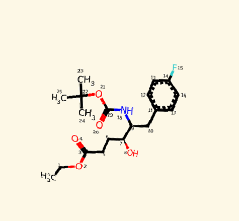 CCOC(=O)CC[C@H](O)[C@H](Cc1ccc(F)cc1)NC(=O)OC(C)(C)C